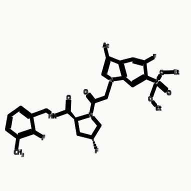 CCOP(=O)(OCC)c1cc2c(cc1F)c(C(C)=O)cn2CC(=O)N1C[C@H](F)C[C@H]1C(=O)NCc1cccc(C)c1F